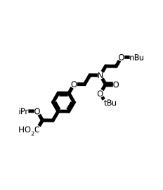 CCCCOCCN(CCOc1ccc(CC(OC(C)C)C(=O)O)cc1)C(=O)OC(C)(C)C